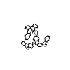 O=c1c2ccccc2c2cccc3c4cc(-c5cccc6oc7ccc(-n8c9ccccc9c9c%10c(ccc98)sc8ccccc8%10)cc7c56)ccc4n1c23